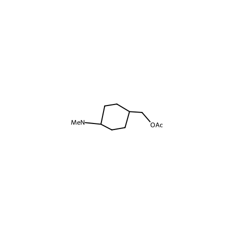 CNC1CCC(COC(C)=O)CC1